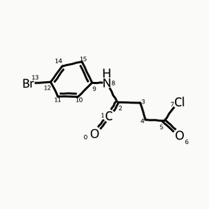 O=C=C(CCC(=O)Cl)Nc1ccc(Br)cc1